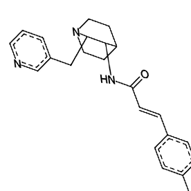 CSc1ccc(/C=C/C(=O)NC2C3CCN(CC3)C2Cc2cccnc2)cc1